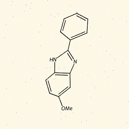 COc1ccc2[nH]c(-c3cc[c]cc3)nc2c1